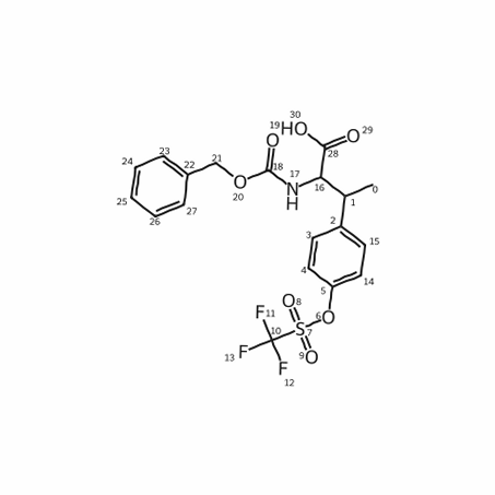 CC(c1ccc(OS(=O)(=O)C(F)(F)F)cc1)C(NC(=O)OCc1ccccc1)C(=O)O